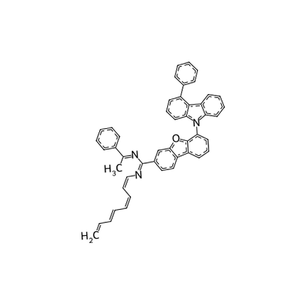 C=C/C=C/C=C\C=C/N=C(\N=C(/C)c1ccccc1)c1ccc2c(c1)oc1c(-n3c4ccccc4c4c(-c5ccccc5)cccc43)cccc12